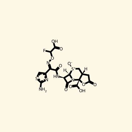 Nc1nc(/C(=N/OC(F)C(=O)O)C(=O)N[C@@H]2C(=O)N3[C@@H]2[S@+]([O-])C[C@@H]2CC(=O)O[C@@]23C(=O)O)cs1